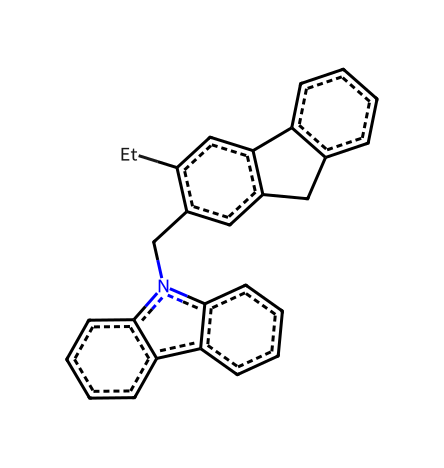 CCc1cc2c(cc1Cn1c3ccccc3c3ccccc31)Cc1ccccc1-2